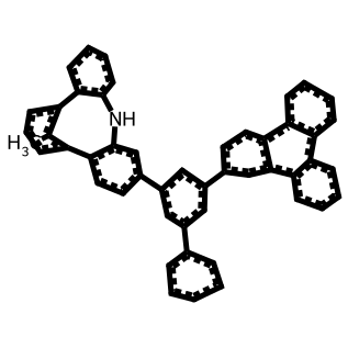 Cc1c2cccc1-c1ccc(-c3cc(-c4ccccc4)cc(-c4ccc5c6ccccc6c6ccccc6c5c4)c3)cc1Nc1ccccc1-2